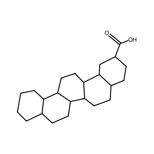 O=C(O)C1CCC2CCC3C(CCC4C5CCCCC5CCC43)C2C1